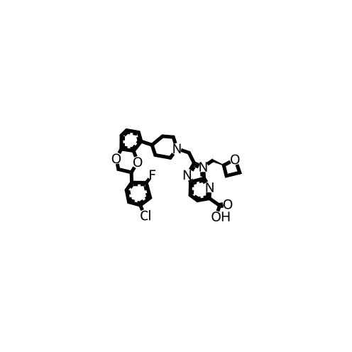 O=C(O)c1ccc2nc(CN3CCC(c4cccc5c4OC(c4ccc(Cl)cc4F)CO5)CC3)n(C[C@@H]3CCO3)c2n1